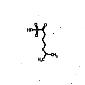 CC(C)SCCCC(=O)S(=O)(=O)O